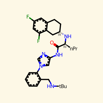 CCC[C@H](N[C@H]1CCc2cc(F)cc(F)c2C1)C(=O)Nc1cn(-c2ccccc2CNC(C)(C)C)cn1